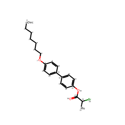 CCCCCCCCCCCCCCCCOc1ccc(-c2ccc(OC(=O)C(Br)C(C)CC)cc2)cc1